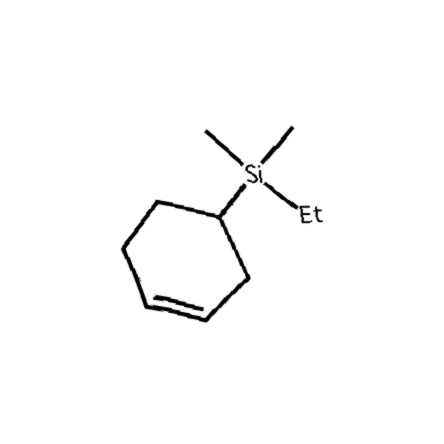 CC[Si](C)(C)C1CC=CCC1